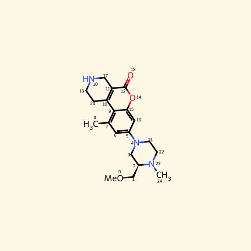 COC[C@H]1CN(c2cc(C)c3c4c(c(=O)oc3c2)CNCC4)CCN1C